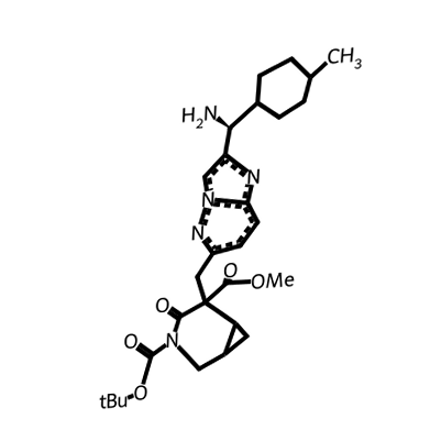 COC(=O)C1(Cc2ccc3nc([C@@H](N)C4CCC(C)CC4)cn3n2)C(=O)N(C(=O)OC(C)(C)C)CC2CC21